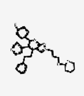 Fc1ccc(-c2nc3nn(CCCOC4CCCCO4)cc3c(CCc3ccccc3)c2-c2ccncc2)cc1